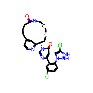 O=C1CCCc2ccnc(c2)[C@@H](n2cnc(-c3cc(Cl)ccc3N3C=C(Cl)NN3)cc2=O)CCCCCN1